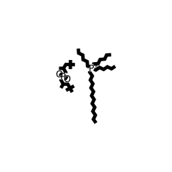 CC(CC(C)(C)C)CP(=O)([O-])CC(C)CC(C)(C)C.CCCCCCCCCCCCCC[P+](CCCCCC)(CCCCCC)CCCCCC